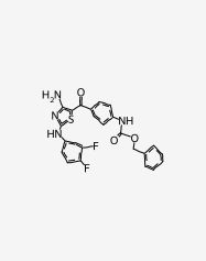 Nc1nc(Nc2ccc(F)c(F)c2)sc1C(=O)c1ccc(NC(=O)OCc2ccccc2)cc1